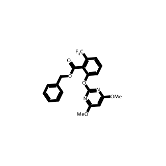 COc1cc(OC)nc(Oc2cccc(C(F)(F)F)c2C(=O)OCc2ccccc2)n1